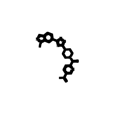 C=C(C)c1ccc(C(=O)N2CCC(c3nc(-c4ccc5cnn(C)c5c4)no3)CC2)nc1